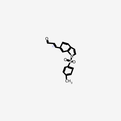 Cc1ccc(S(=O)(=O)n2ccc3ccc(/C=C/C=O)cc32)cc1